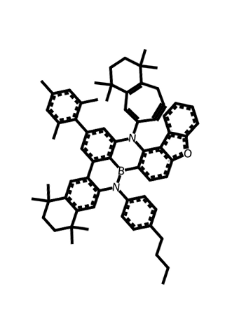 CCCCc1ccc(N2B3c4ccc5oc6ccccc6c5c4N(C4=CC5=C(CC#C4)C(C)(C)CCC5(C)C)c4cc(-c5c(C)cc(C)cc5C)cc(c43)-c3cc4c(cc32)C(C)(C)CCC4(C)C)cc1